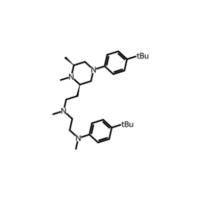 C[C@H]1CN(c2ccc(C(C)(C)C)cc2)C[C@@H](CCN(C)CCN(C)c2ccc(C(C)(C)C)cc2)N1C